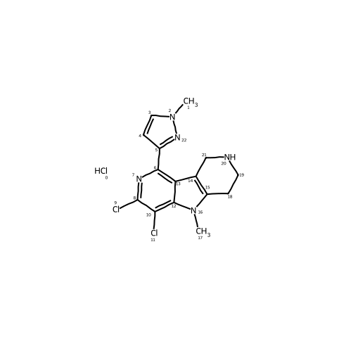 Cl.Cn1ccc(-c2nc(Cl)c(Cl)c3c2c2c(n3C)CCNC2)n1